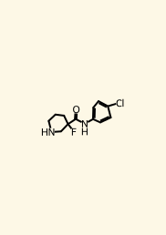 O=C(Nc1ccc(Cl)cc1)C1(F)CCCNC1